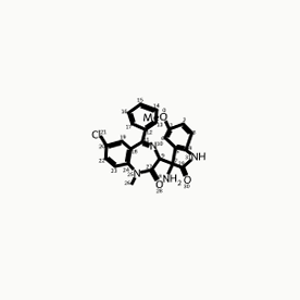 COc1ccc2c(c1)C(N)(C1N=C(c3ccccc3)c3cc(Cl)ccc3N(C)C1=O)C(=O)N2